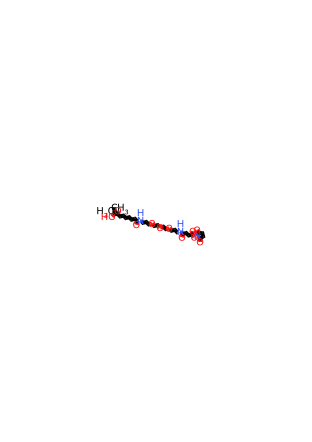 CC1(C)OC(CCCCCCC(=O)NCCCOCCOCCOCCCNC(=O)CCC(=O)ON2C(=O)CCC2=O)=C1O